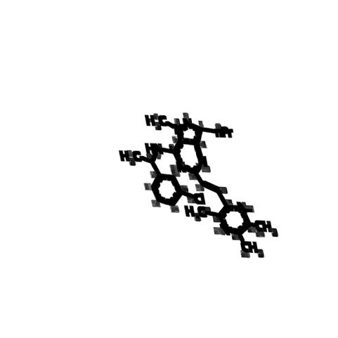 CCCc1nn(C)c2c(NC(C)c3cccc(Cl)c3)nc(C=Cc3nc(C)c(C)nc3C)nc12